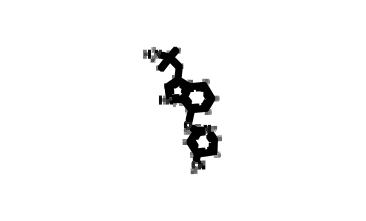 CC(C)(N)Cc1c[nH]c2c(Oc3cc(C#N)ccn3)cccc12